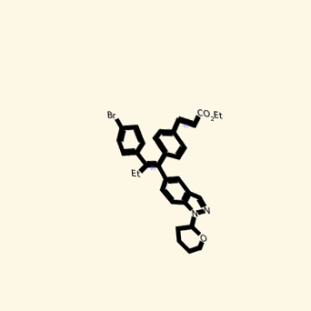 CCOC(=O)/C=C/c1ccc(/C(=C(/CC)c2ccc(Br)cc2)c2ccc3c(cnn3C3CCCCO3)c2)cc1